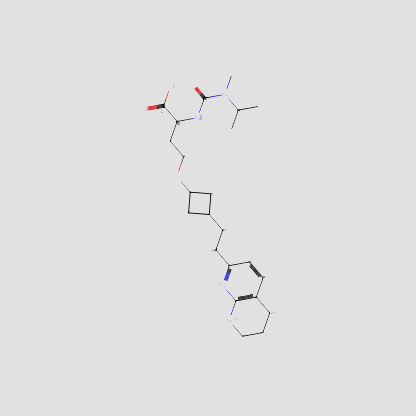 CC(C)N(C)C(=O)NC(CCOC1CC(CCc2ccc3c(n2)NCCC3)C1)C(=O)O